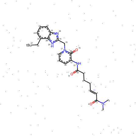 CN(C)C(=O)/C=C/CCCC(=O)Nc1cccn(Cc2nc3cccc(CC(C)(C)C)c3[nH]2)c1=O